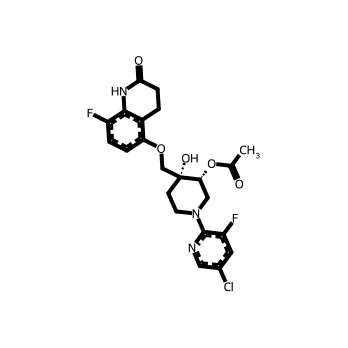 CC(=O)O[C@@H]1CN(c2ncc(Cl)cc2F)CC[C@@]1(O)COc1ccc(F)c2c1CCC(=O)N2